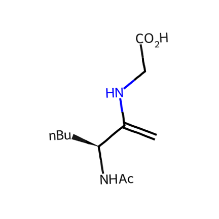 C=C(NCC(=O)O)[C@H](CCCC)NC(C)=O